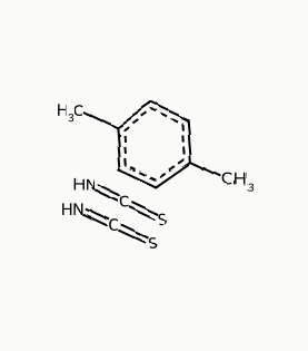 Cc1ccc(C)cc1.N=C=S.N=C=S